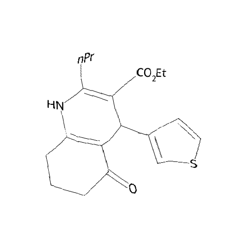 CCCC1=C(C(=O)OCC)C(c2ccsc2)C2=C(CCCC2=O)N1